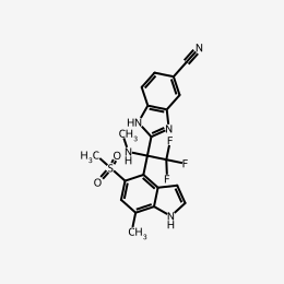 CNC(c1nc2cc(C#N)ccc2[nH]1)(c1c(S(C)(=O)=O)cc(C)c2[nH]ccc12)C(F)(F)F